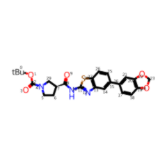 CC(C)(C)OC(=O)N1CC[C@H](C(=O)Nc2nc3cc(-c4ccc5c(c4)OCO5)ccc3s2)C1